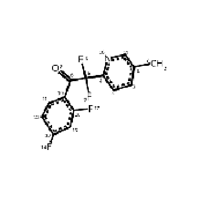 Cc1ccc(C(F)(F)C(=O)c2ccc(F)cc2F)nc1